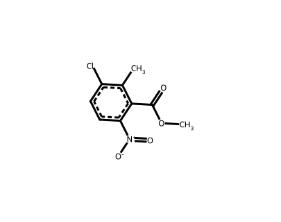 COC(=O)c1c([N+](=O)[O-])ccc(Cl)c1C